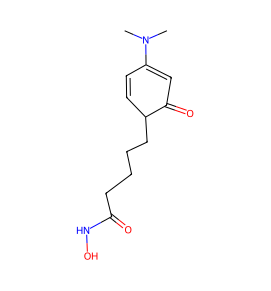 CN(C)C1=CC(=O)C(CCCCC(=O)NO)C=C1